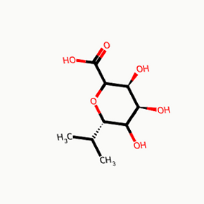 CC(C)[C@@H]1OC(C(=O)O)[C@@H](O)[C@@H](O)C1O